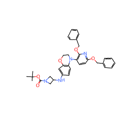 CC(C)(C)OC(=O)N1CC(Nc2ccc3c(c2)OCCN3c2ccc(OCc3ccccc3)nc2OCc2ccccc2)C1